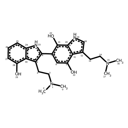 CN(C)CCc1c(-c2cc(O)c3c(CCN(C)C)c[nH]c3c2O)[nH]c2cccc(O)c12